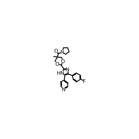 CC1(C(=O)N2CCCC2)COC(c2nc(-c3ccc(F)cc3)c(-c3ccncc3)[nH]2)OC1